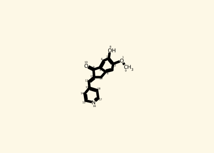 COc1cc2c(cc1O)C(=O)/C(=C/c1ccncc1)C2